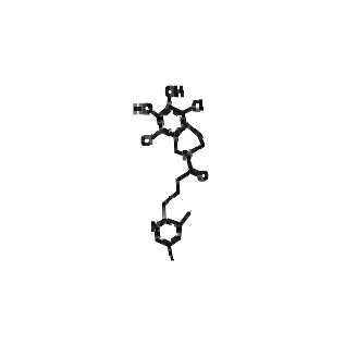 Cc1cnc(CCCC(=O)N2CCc3c(Cl)c(O)c(O)c(Cl)c3C2)c(C)c1